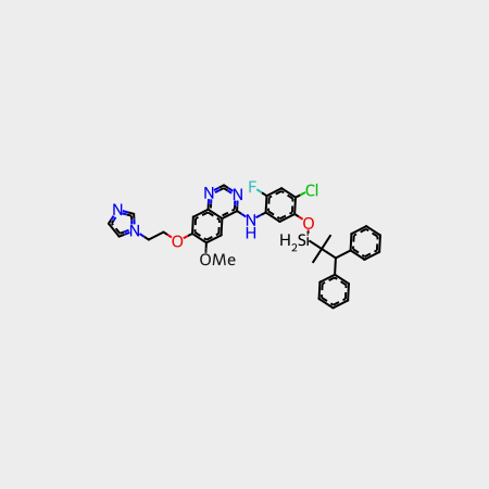 COc1cc2c(Nc3cc(O[SiH2]C(C)(C)C(c4ccccc4)c4ccccc4)c(Cl)cc3F)ncnc2cc1OCCn1ccnc1